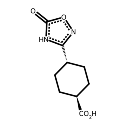 O=c1[nH]c([C@H]2CC[C@H](C(=O)O)CC2)no1